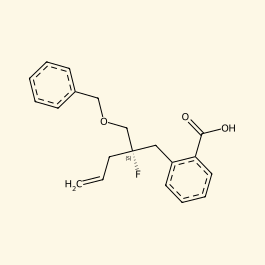 C=CC[C@@](F)(COCc1ccccc1)Cc1ccccc1C(=O)O